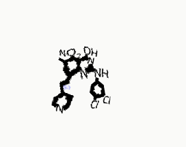 Cc1cc(/C=C/c2ccncc2)c2nc(Nc3ccc(Cl)c(Cl)c3)nc(O)c2c1[N+](=O)[O-]